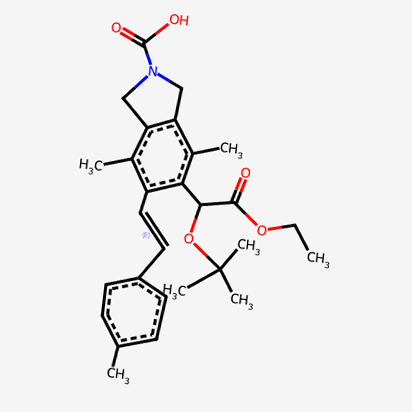 CCOC(=O)C(OC(C)(C)C)c1c(C)c2c(c(C)c1/C=C/c1ccc(C)cc1)CN(C(=O)O)C2